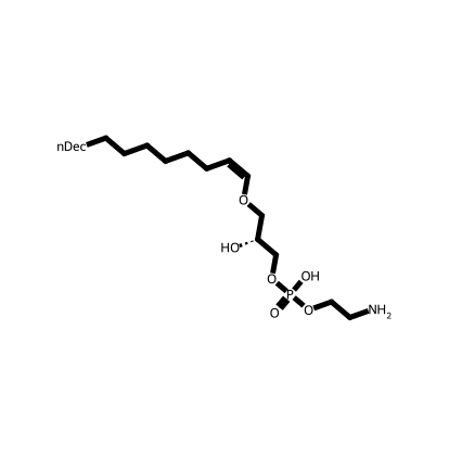 CCCCCCCCCCCCCCCC/C=C\OC[C@@H](O)COP(=O)(O)OCCN